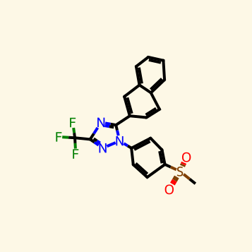 CS(=O)(=O)c1ccc(-n2nc(C(F)(F)F)nc2-c2ccc3ccccc3c2)cc1